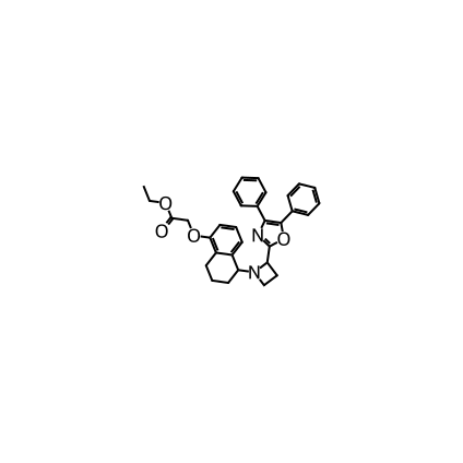 CCOC(=O)COc1cccc2c1CCCC2N1CCC1c1nc(-c2ccccc2)c(-c2ccccc2)o1